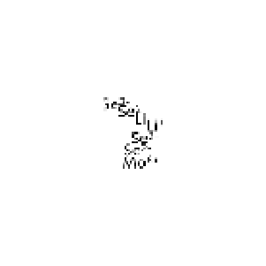 [Li+].[Li+].[Mo+6].[Se-2].[Se-2].[Se-2].[Se-2]